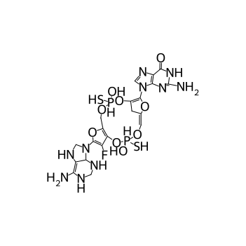 NC1=C2NCN(c3oc4c(c3F)O[PH](O)(S)O/C=C3\CC(=C(n5cnc6c(=O)[nH]c(N)nc65)O3)O[PH](O)(S)OC4)C2NCN1